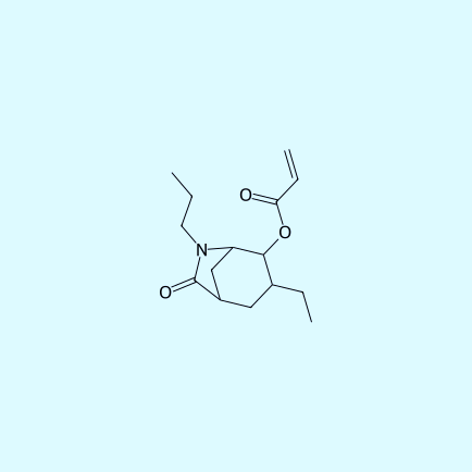 C=CC(=O)OC1C(CC)CC2CC1N(CCC)C2=O